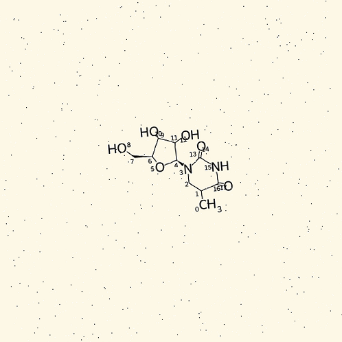 CC1CN([C@H]2O[C@@H](CO)C(O)C2O)C(=O)NC1=O